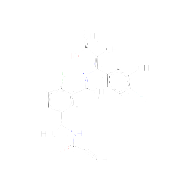 C#CC(=O)NC(C)c1ccc(Cl)c(/C(C)=N/C(=C(/C)C(=C)O)c2ccc(F)c(C)c2)c1